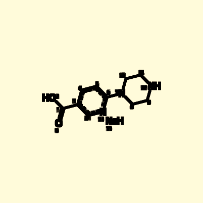 O=C(O)c1ccc(N2CCNCC2)nc1.[NaH]